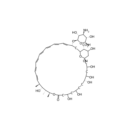 C[C@@H]1[C@H](O)[C@@H](C)/C=C/C=C/C=C/C=C/C=C/C=C/C=C/[C@H](O[C@@H]2O[C@H](C)[C@@H](O)[C@H](N)[C@H]2O)CC2O[C@](O)(CC(O)CC(O)[C@H](O)CCC(O)CC(O)CC(=O)O[C@H]1C)CC(O)[C@H]2C(=O)O